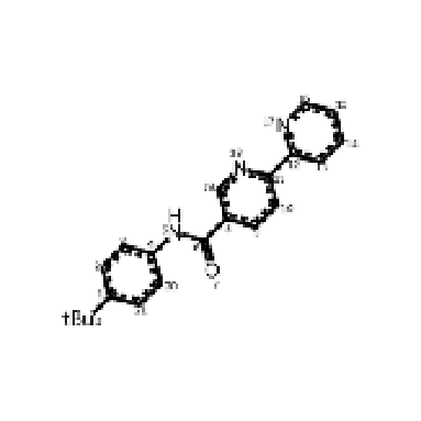 CC(C)(C)c1ccc(NC(=O)c2ccc(-c3ccccn3)nc2)cc1